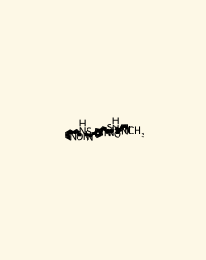 Cn1ccc(C(=O)Nc2nnc(CC3CCC(c4nnc(NC(=O)Cc5ccccn5)s4)C3)s2)n1